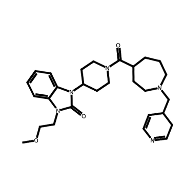 COCCn1c(=O)n(C2CCN(C(=O)C3CCCN(CC4C=CN=CC4)CC3)CC2)c2ccccc21